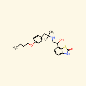 CCCCOc1ccc(CC(C)(C)NCC(O)c2cccc3[nH]c(=O)sc23)cc1